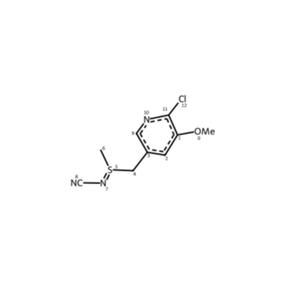 COc1cc(C/S(C)=N/C#N)cnc1Cl